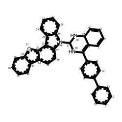 C1=CC2=C(c3ccc(-c4ccccc4)cc3)NC(n3c4ccccc4c4c5oc6ccccc6c5ccc43)NC2C=C1